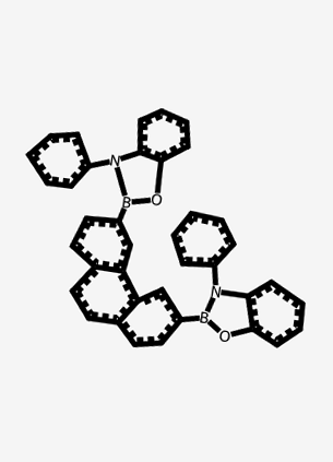 c1ccc(N2B(c3ccc4ccc5ccc(B6Oc7ccccc7N6c6ccccc6)cc5c4c3)Oc3ccccc32)cc1